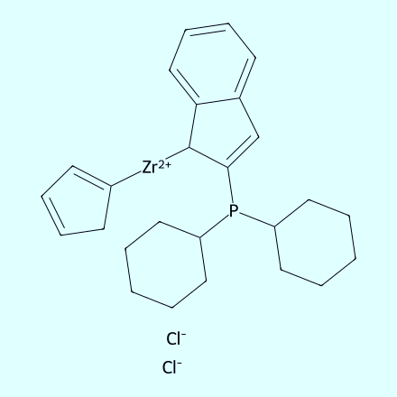 C1=CC[C]([Zr+2][CH]2C(P(C3CCCCC3)C3CCCCC3)=Cc3ccccc32)=C1.[Cl-].[Cl-]